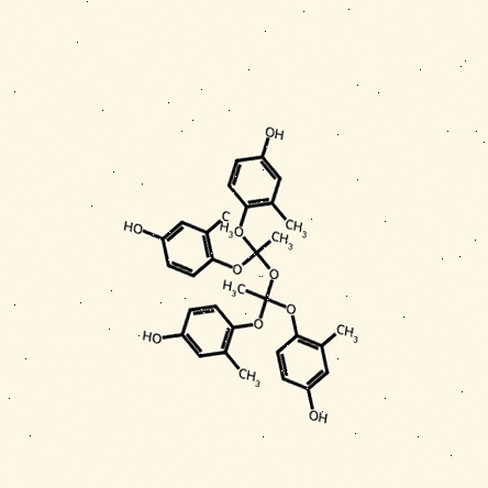 Cc1cc(O)ccc1OC(C)(Oc1ccc(O)cc1C)OC(C)(Oc1ccc(O)cc1C)Oc1ccc(O)cc1C